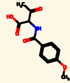 COc1ccc(C(=O)NC(C(C)=O)C(=O)O)cc1